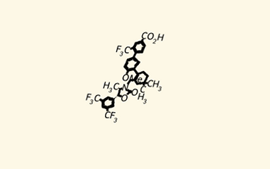 COc1ccc(-c2ccc(C(=O)O)cc2C(F)(F)F)cc1C1=C(CN2C(=O)O[C@H](c3cc(C(F)(F)F)cc(C(F)(F)F)c3)[C@@H]2C)CC(C)(C)CC1